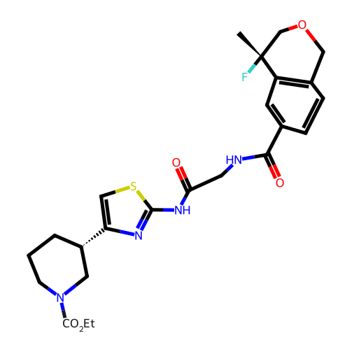 CCOC(=O)N1CCC[C@H](c2csc(NC(=O)CNC(=O)c3ccc4c(c3)[C@](C)(F)COC4)n2)C1